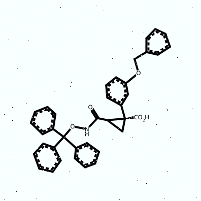 O=C(NOC(c1ccccc1)(c1ccccc1)c1ccccc1)C1C[C@@]1(C(=O)O)c1cccc(OCc2ccccc2)c1